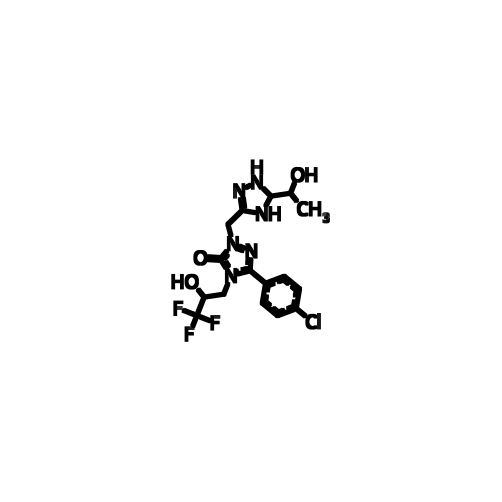 CC(O)C1NN=C(Cn2nc(-c3ccc(Cl)cc3)n(CC(O)C(F)(F)F)c2=O)N1